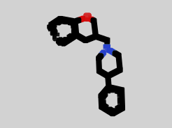 c1ccc(C2CCN(CC3COc4ccccc4C3)CC2)cc1